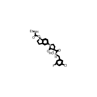 CCNC(=O)ON1CCc2cc(N3CC[C@@](O)(C(=O)NCc4cc(F)cc(Cl)c4)C3=O)ccc21